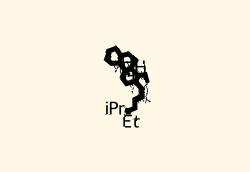 CCC(CC[C@@H](C)[C@H]1CC[C@H]2[C@@H]3CCC4CC=CC[C@]4(C)[C@H]3CC[C@]12C)C(C)C